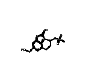 CS(=O)(=O)CC1CCc2cc(OC(F)(F)F)cc3sc(=N)n1c23